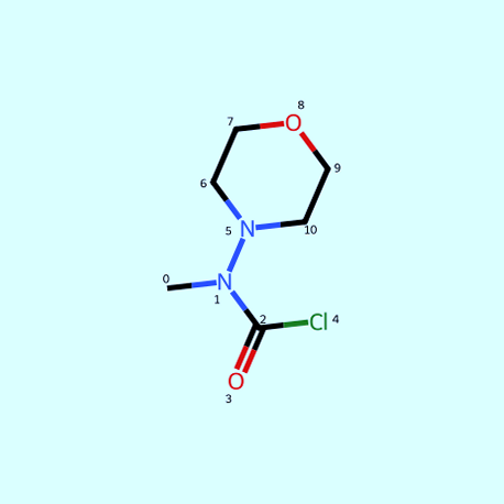 CN(C(=O)Cl)N1CCOCC1